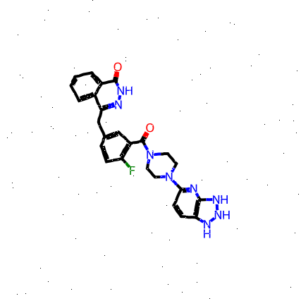 O=C(c1cc(Cc2n[nH]c(=O)c3ccccc23)ccc1F)N1CCN(c2ccc3c(n2)NNN3)CC1